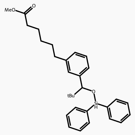 COC(=O)CCCCCc1cccc(C(O[SiH](c2ccccc2)c2ccccc2)C(C)(C)C)c1